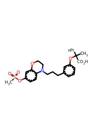 CCCC(C)(Oc1cccc(CCCN2CCOc3cc(OS(C)(=O)=O)ccc32)c1)C(=O)O